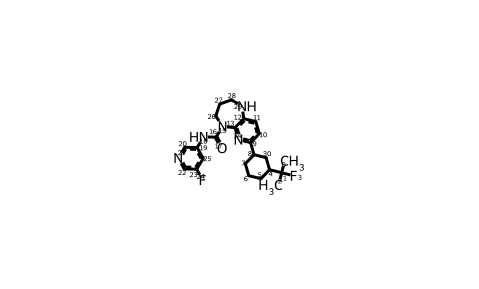 CC(C)(F)C1CCCC(c2ccc3c(n2)N(C(=O)Nc2cncc(F)c2)CCCN3)C1